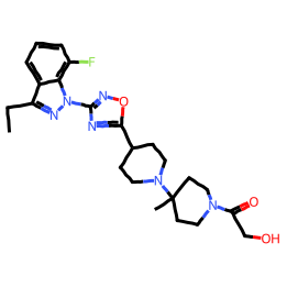 CCc1nn(-c2noc(C3CCN(C4(C)CCN(C(=O)CO)CC4)CC3)n2)c2c(F)cccc12